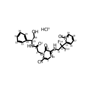 Cl.O=C(Cn1c(Cl)cnc(NCC(F)(F)c2cccc[n+]2[O-])c1=O)N[C@H](CO)c1ccccc1